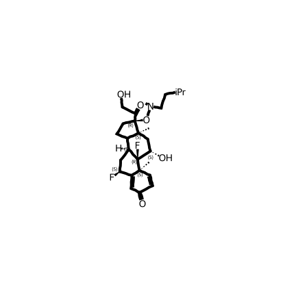 CC(C)CCN(C)O[C@]1(C(=O)CO)CCC2[C@@H]3C[C@H](F)C4=CC(=O)C=C[C@]4(C)[C@@]3(F)[C@@H](O)C[C@@]21C